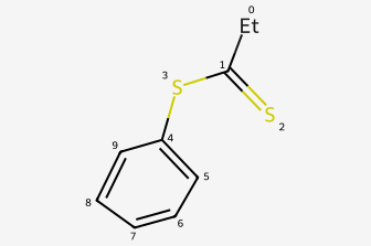 CCC(=S)Sc1ccccc1